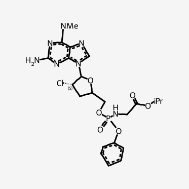 CNc1nc(N)nc2c1ncn2C1OC(COP(=O)(NCC(=O)OC(C)C)Oc2ccccc2)C[C@@H]1Cl